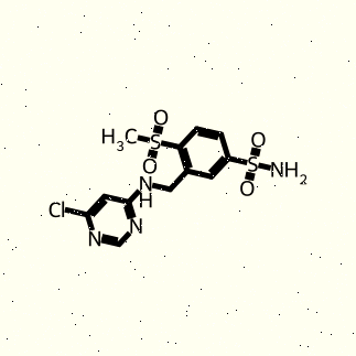 CS(=O)(=O)c1ccc(S(N)(=O)=O)cc1CNc1cc(Cl)ncn1